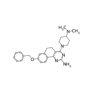 CN(C)C1CCN(c2nc(N)nc3c2CCc2cc(OCc4ccccc4)ccc2-3)CC1